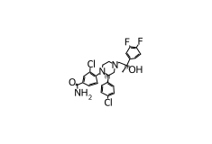 C[C@@](O)(CN1CCN(c2ccc(C(N)=O)cc2Cl)[C@H](c2ccc(Cl)cc2)C1)c1ccc(F)c(F)c1